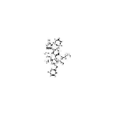 CCC[N+]1(C)N=C(Cc2ccccc2)C(C(=O)OCC)=C1c1ccc(-c2ccccc2-c2nnn[nH]2)cc1